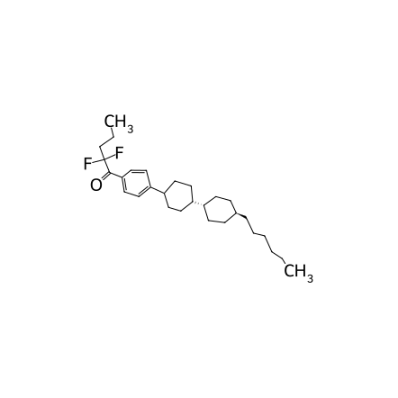 CCCCCC[C@H]1CC[C@H](C2CCC(c3ccc(C(=O)C(F)(F)CCC)cc3)CC2)CC1